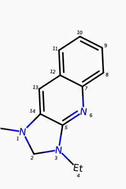 CCN1CN(CC)c2nc3ccccc3cc21